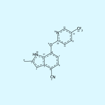 Cc1cc2c(C#N)ccc(Oc3ccc(C(F)(F)F)cn3)c2[nH]1